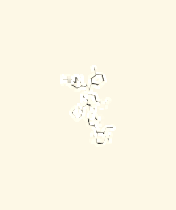 CCc1nccnc1-c1cc([C@@H]2CCCN2c2nc(OC)cc(N(c3cccc(C)c3)c3cc[nH]n3)n2)on1